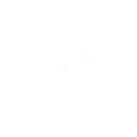 Oc1ccccc1NC1CCN(c2[c]cc(C(F)(F)F)cc2)CC1